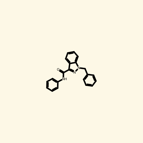 O=C(Nc1ccccc1)c1nn(Cc2ccccc2)c2ccccc12